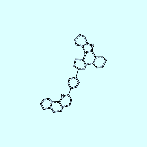 c1ccc2c(c1)ccc1ccc(-c3ccc(-c4ccc5c(c4)c4ccccc4c4nc6ccccc6n54)cc3)nc12